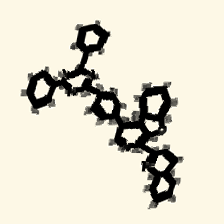 c1ccc(-c2nc(-c3ccccc3)nc(-c3ccc(-c4cnc(-c5ccc6ccccc6n5)c5oc6ccccc6c45)cc3)n2)cc1